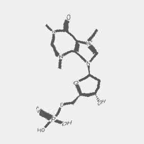 CN1CN(C)c2c([n+](C)cn2[C@H]2C[C@H](O)[C@@H](COP(=O)(O)O)O2)C1=O